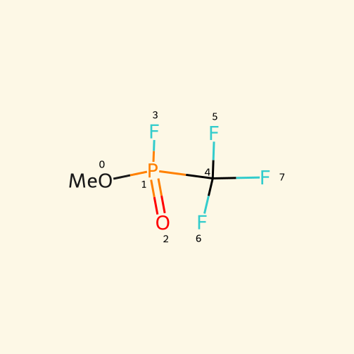 COP(=O)(F)C(F)(F)F